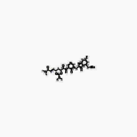 CN(C)C(=O)/C=C/CCC(OC(=O)N(C)C)C(=O)Nc1cncn(Cc2nc3cc(F)cc(CC(C)(C)C)c3[nH]2)c1=O